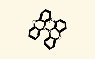 Cc1cccc2c1N(B1c3ccccc3Oc3ccccc31)c1ccccc1O2